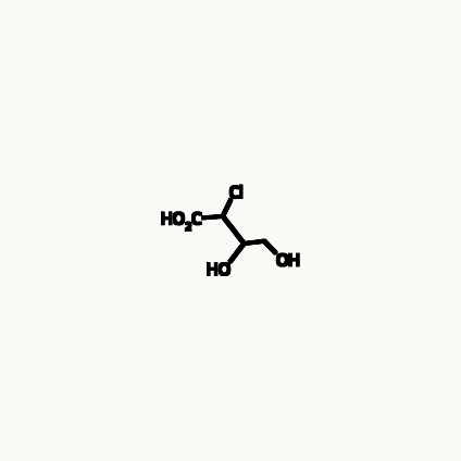 O=C(O)C(Cl)C(O)CO